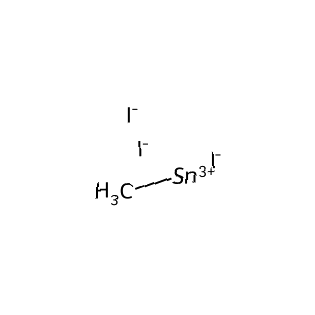 [CH3][Sn+3].[I-].[I-].[I-]